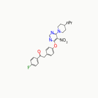 CCCC1CCN(c2ncnc(Oc3ccc(CC(=O)c4ccc(F)cc4)cc3)c2[N+](=O)[O-])CC1